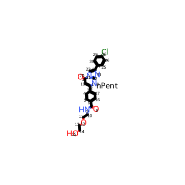 CCCCCn1c(-c2ccc(C(=O)NCCOCCO)cc2)cc(=O)n2cc(-c3ccc(Cl)cc3)nc12